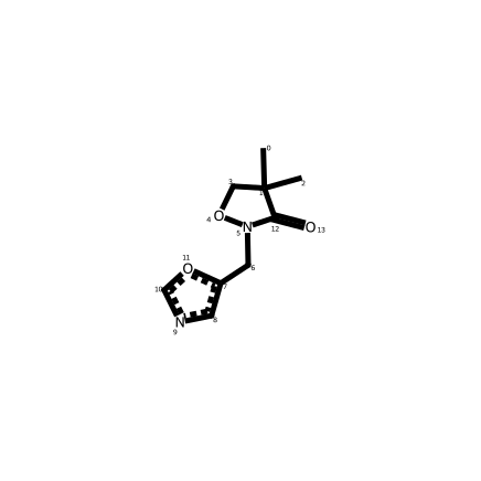 CC1(C)CON(Cc2cnco2)C1=O